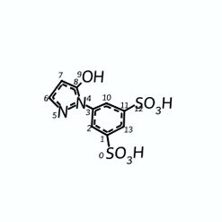 O=S(=O)(O)c1cc(-n2nccc2O)cc(S(=O)(=O)O)c1